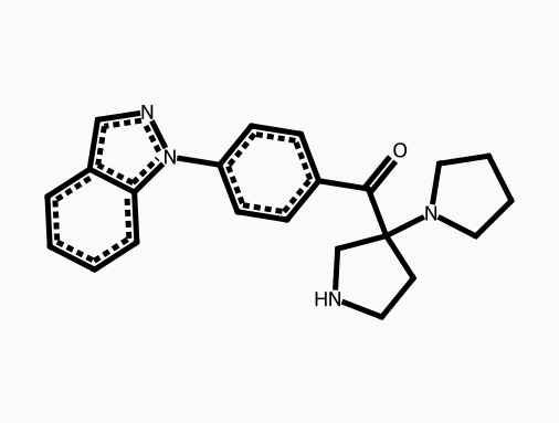 O=C(c1ccc(-n2ncc3ccccc32)cc1)C1(N2CCCC2)CCNC1